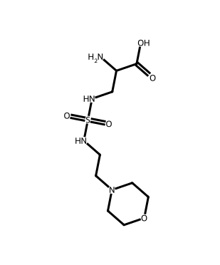 NC(CNS(=O)(=O)NCCN1CCOCC1)C(=O)O